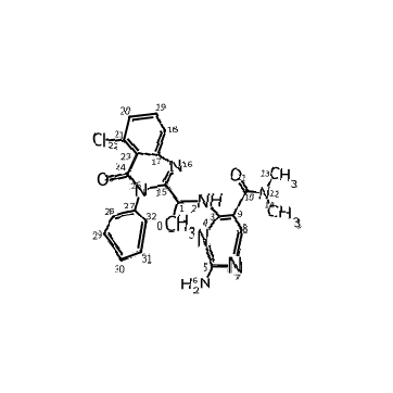 CC(Nc1nc(N)ncc1C(=O)N(C)C)c1nc2cccc(Cl)c2c(=O)n1-c1ccccc1